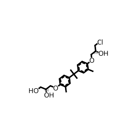 Cc1cc(C(C)(C)c2ccc(OC[C@@H](O)CO)c(C)c2)ccc1OC[C@H](O)CCl